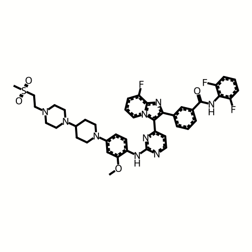 COc1cc(N2CCC(N3CCN(CCS(C)(=O)=O)CC3)CC2)ccc1Nc1nccc(-c2c(-c3cccc(C(=O)Nc4c(F)cccc4F)c3)nc3c(F)cccn23)n1